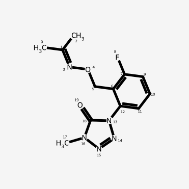 CC(C)=NOCc1c(F)cccc1-n1nnn(C)c1=O